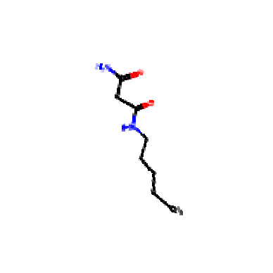 CCCCCNC(=O)CC(N)=O